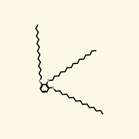 CCCCCCCCCCCCCCCSc1c[c]cc(SCCCCCCCCCCCCCCC)c1SCCCCCCCCCCCCCCC